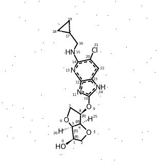 O[C@@H]1CO[C@H]2[C@@H]1OC[C@H]2Oc1nc2nc(NCC3CC3)c(Cl)cc2[nH]1